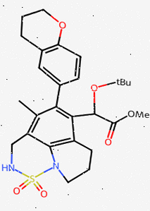 COC(=O)C(OC(C)(C)C)c1c2c3c(c(C)c1-c1ccc4c(c1)CCCO4)CNS(=O)(=O)N3CCC2